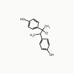 CC(c1ccc(O)cc1)C(C)(Cl)c1ccc(O)cc1